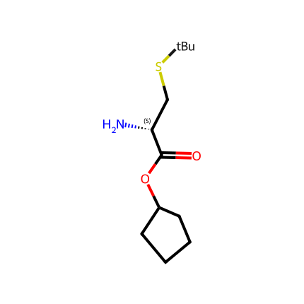 CC(C)(C)SC[C@@H](N)C(=O)OC1CCCC1